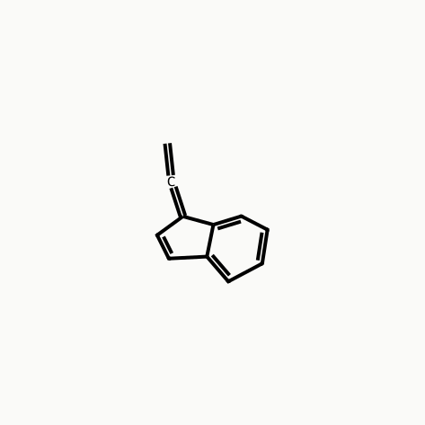 C=C=C1C=Cc2ccccc21